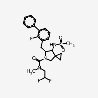 CN(CC(F)F)C(=O)N1CC2(CC2)[C@H](NS(C)(=O)=O)[C@@H]1Cc1cccc(-c2ccccc2)c1F